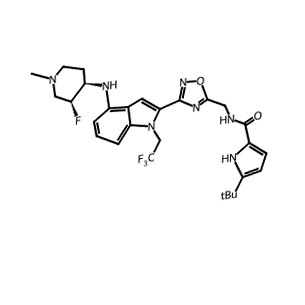 CN1CC[C@@H](Nc2cccc3c2cc(-c2noc(CNC(=O)c4ccc(C(C)(C)C)[nH]4)n2)n3CC(F)(F)F)[C@@H](F)C1